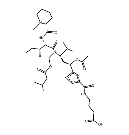 CC[C@H](C)[C@H](NC(=O)[C@H]1CCCCN1C)C(=O)N(COC(=O)CC(C)C)[C@H](C[C@@H](OC(C)=O)c1nc(C(=O)NCCCC(=O)O)cs1)C(C)C